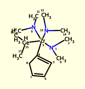 C[N](C)[Zr]([C]1=CC=CC1)([N](C)C)([N](C)C)[GeH]([CH3])[CH3]